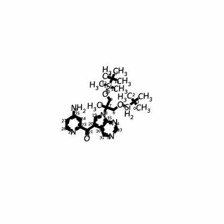 CC(C)(C)[SiH2]OCC(C)(CO[Si](C)(C)C(C)(C)C)n1cc(C(=O)c2cc(N)ccn2)c2cncnc21